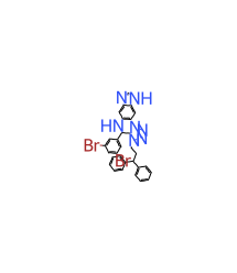 Brc1cc(Br)cc(C(Nc2ccc3[nH]cnc3c2)c2nnnn2CCC(c2ccccc2)c2ccccc2)c1